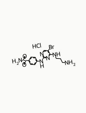 Cl.NCCCNc1nc(Nc2ccc(S(N)(=O)=O)cc2)ncc1Br